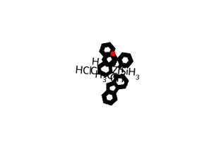 C[C]1([Zr]([SiH3])([c]2ccccc2)([c]2ccccc2)[C]2(C)C=CC=C3C2=Cc2ccccc23)C=CC=C2C1=Cc1ccccc12.Cl.Cl